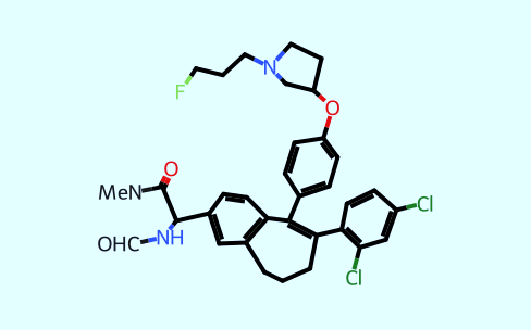 CNC(=O)C(NC=O)c1ccc2c(c1)CCCC(c1ccc(Cl)cc1Cl)=C2c1ccc(OC2CCN(CCCF)C2)cc1